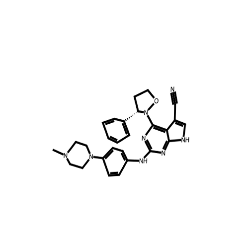 CN1CCN(c2ccc(Nc3nc(N4OCC[C@H]4c4ccccc4)c4c(C#N)c[nH]c4n3)cc2)CC1